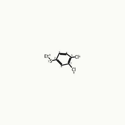 CCSc1ccc(Cl)c(Cl)c1